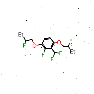 CCC(F)COc1ccc(OCC(F)CC)c(C(F)F)c1F